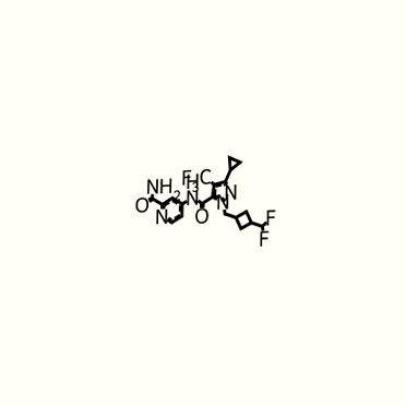 NC(=O)c1cc(NC(=O)c2c(C(F)(F)F)c(C3CC3)nn2CC2CC(C(F)F)C2)ccn1